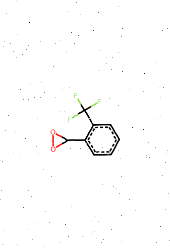 FC(F)(F)c1ccccc1C1OO1